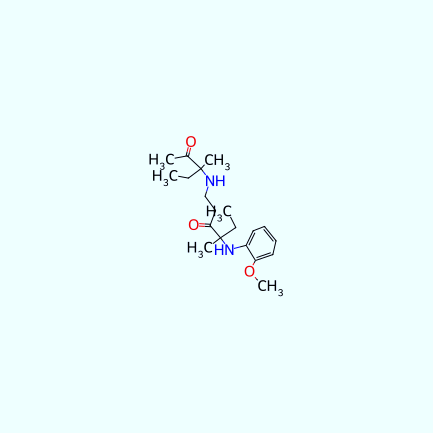 CCC(C)(NCCC(=O)C(C)(CC)Nc1ccccc1OC)C(C)=O